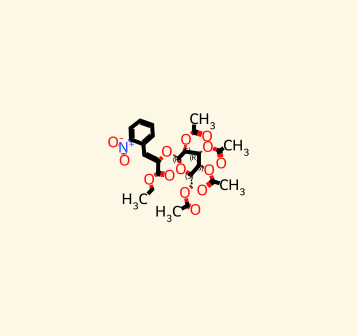 CCOC(=O)C(=Cc1ccccc1[N+](=O)[O-])O[C@H]1O[C@@H](COC(C)=O)[C@H](OC(C)=O)[C@@H](OC(C)=O)[C@@H]1OC(C)=O